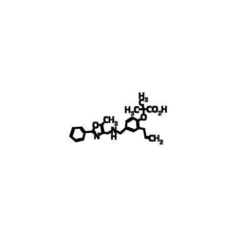 C=CCc1cc(CNCc2nc(-c3ccccc3)oc2C)ccc1OC(C)(C)C(=O)O